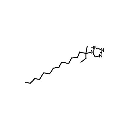 CCCCCCCCCCCCCC(C)(CC)N1CN=NN1